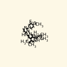 CO[C@@H]1CCN(c2nccc(Nc3cc4c(cn3)C(N)(CCN(C)C)NC=C4C(C)C)n2)C[C@@H]1F